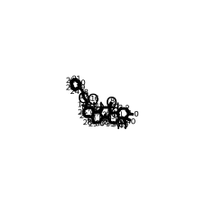 CC1=CC[C@]2(C)[C@H]3C(=O)C=C4[C@@H]5C[C@@](C)(C(=O)OCc6ccccc6)CC[C@]5(C)CC[C@@]4(C)[C@]3(C)CC[C@H]2C1(C)C